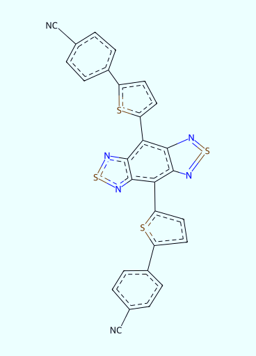 N#Cc1ccc(-c2ccc(-c3c4c(c(-c5ccc(-c6ccc(C#N)cc6)s5)c5nsnc35)N=S=N4)s2)cc1